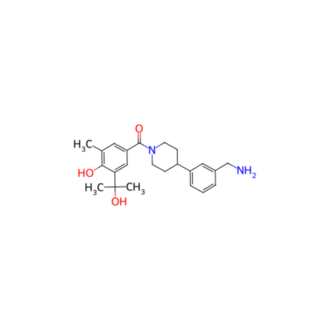 Cc1cc(C(=O)N2CCC(c3cccc(CN)c3)CC2)cc(C(C)(C)O)c1O